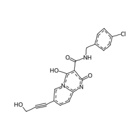 O=C(NCc1ccc(Cl)cc1)c1c(O)n2cc(C#CCO)ccc2nc1=O